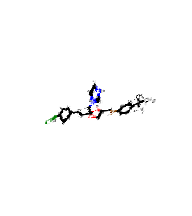 CC(C)(C)c1ccc(SCC2COC(CCc3ccc(Cl)cc3)(Cn3ccnc3)O2)cc1